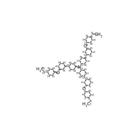 C=Cc1ccc(Oc2cccc(-c3ccc(N(c4ccc(-c5cccc(Oc6ccc(C=C)cc6)c5)cc4)c4ccc(-c5cccc(Oc6ccc(C=C)cc6)c5)cc4)cc3)c2)cc1